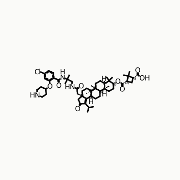 CC(C)C1=C2[C@H]3CC[C@@H]4[C@@]5(C)CC[C@H](OC(=O)[C@H]6C[C@@H](C(=O)O)C6(C)C)C(C)(C)[C@@H]5CC[C@@]4(C)[C@]3(C)CC[C@@]2(CC(=O)NCC(C)(C)NC(=O)c2ccc(Cl)cc2OC2CCNCC2)CC1=O